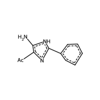 CC(=O)c1nc(-c2ccccc2)[nH]c1N